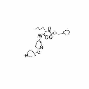 CCCCC(NC(=O)OCc1ccccc1)C(=O)Nc1ccc(OC2CCN(C)CC2)nc1